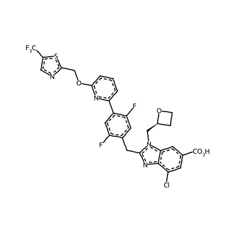 O=C(O)c1cc(Cl)c2nc(Cc3cc(F)c(-c4cccc(OCc5ncc(C(F)(F)F)s5)n4)cc3F)n(C[C@@H]3CCO3)c2c1